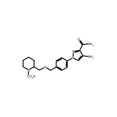 NC(=O)c1nn(-c2ccc(COCC3CCCCN3C(=O)O)cc2)cc1N